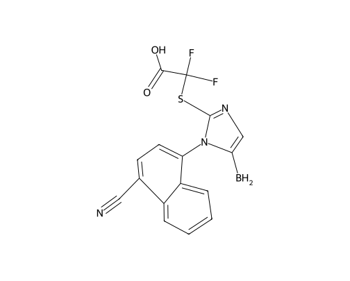 Bc1cnc(SC(F)(F)C(=O)O)n1-c1ccc(C#N)c2ccccc12